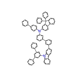 c1ccc(-c2ccc(N(c3cccc(-c4cccc(-c5ccc6c7ccccc7n(-c7cc(-c8ccccc8)cc(-c8ccccc8)c7)c6c5)c4)c3)c3ccc4c(c3)C(c3ccccc3)(c3ccccc3)c3ccccc3-4)cc2)cc1